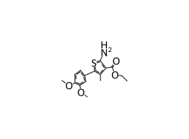 CCOC(=O)c1c(N)sc(-c2ccc(OC)c(OC)c2)c1C